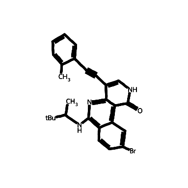 Cc1ccccc1C#Cc1c[nH]c(=O)c2c1nc(NC(C)C(C)(C)C)c1ccc(Br)cc12